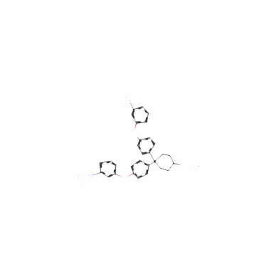 CCCCCCC1CCC(c2ccc(Oc3cccc(N)c3)cc2)(c2ccc(Oc3cccc(N)c3)cc2)CC1